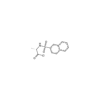 C[C@H](NS(=O)(=O)c1ccc2ccccc2c1)C(=O)Cl